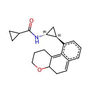 O=C(N[C@@H]1C[C@H]1c1cccc2c1=C1CCCOC1CC=2)C1CC1